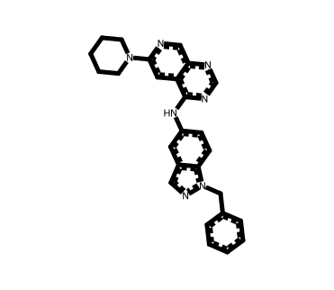 c1ccc(Cn2ncc3cc(Nc4ncnc5cnc(N6CCCCC6)cc45)ccc32)cc1